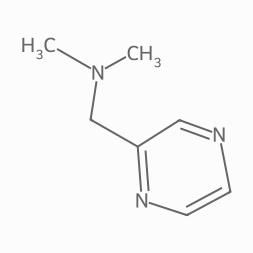 CN(C)Cc1cnccn1